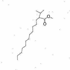 CCCCCCCCCCCCC(C(=O)OC)C(C)C